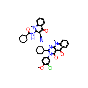 COc1ccc(-n2c(C3CCCCC3)nc3c(c(=O)c4ccccc4n3C)c2=O)cc1Cl.Cn1c(NC(=O)C2CCCCC2)c(C#N)c(=O)c2ccccc21